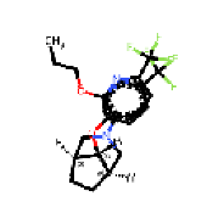 CCCOc1cc(C(F)(F)F)ccc1O[C@@H]1[C@@H]2CC[C@H]1CN(c1ccc(C(F)(F)F)nc1)C2